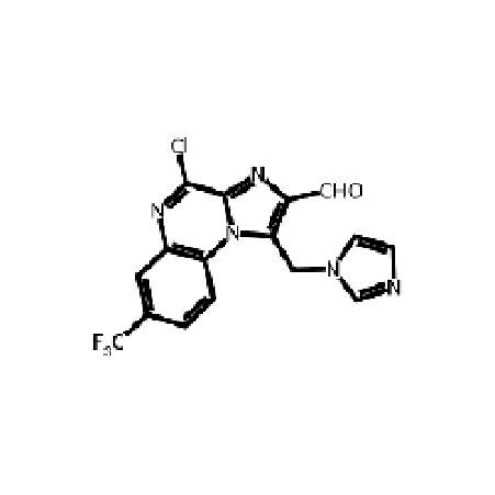 O=Cc1nc2c(Cl)nc3cc(C(F)(F)F)ccc3n2c1Cn1ccnc1